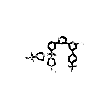 Cc1cc(-c2ccc(C(F)(F)F)cc2)cc(-c2ccnc(-c3cccc(S(=O)(=O)N4CCN(C)CC4)c3)c2)n1.O=S(=O)(O)N1CCOCC1